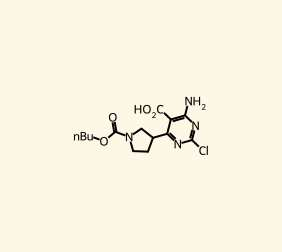 CCCCOC(=O)N1CCC(c2nc(Cl)nc(N)c2C(=O)O)C1